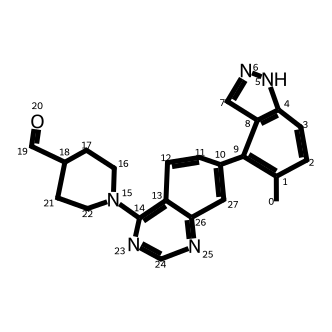 Cc1ccc2[nH]ncc2c1-c1ccc2c(N3CCC(C=O)CC3)ncnc2c1